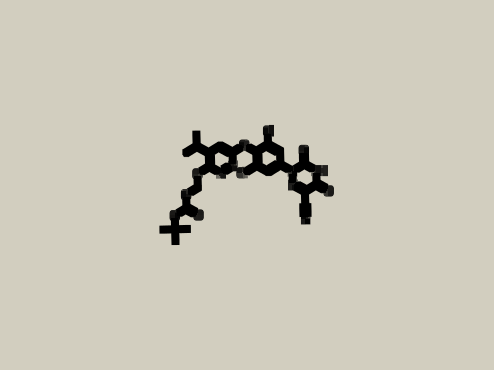 CC(C)c1cc(Oc2c(Cl)cc(-n3nc(C#N)c(=O)[nH]c3=O)cc2Cl)nnc1OCOC(=O)OC(C)(C)C